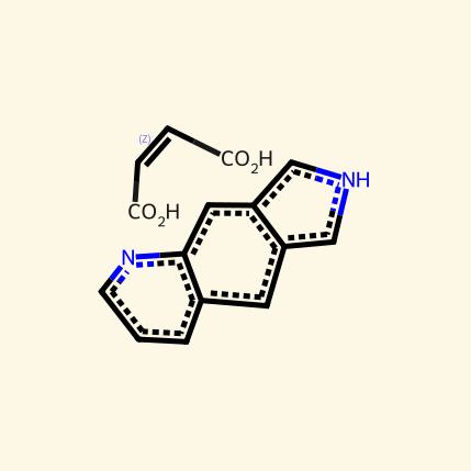 O=C(O)/C=C\C(=O)O.c1cnc2cc3c[nH]cc3cc2c1